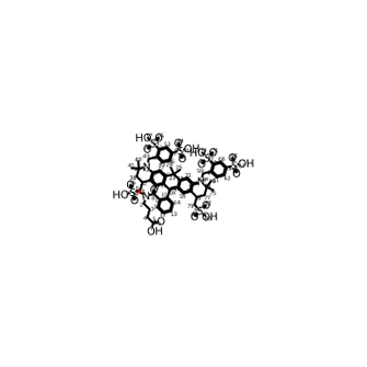 CN(CCCC(=O)O)C(=O)c1ccccc1C1=c2cc3c(cc2C(C)(C)c2cc4c(cc21)C(CS(=O)(=O)O)CC(C)(C)N4Cc1ccc(S(=O)(=O)O)cc1S(=O)(=O)O)=[N+](Cc1ccc(S(=O)(=O)O)cc1S(=O)(=O)O)C(C)(C)CC3CS(=O)(=O)O